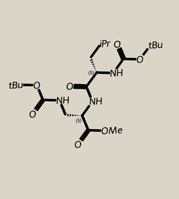 COC(=O)[C@H](CNC(=O)OC(C)(C)C)NC(=O)[C@H](CC(C)C)NC(=O)OC(C)(C)C